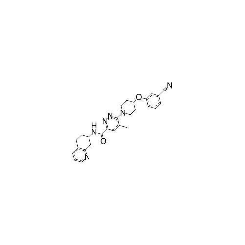 Cc1cc(C(=O)NC2CCc3cccnc3C2)nnc1N1CCC(Oc2cccc(C#N)c2)CC1